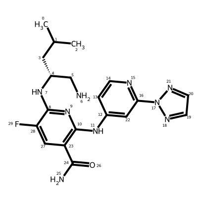 CC(C)C[C@H](CN)Nc1nc(Nc2ccnc(-n3nccn3)c2)c(C(N)=O)cc1F